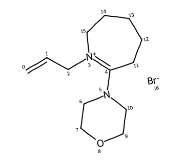 C=CC[N+]1=C(N2CCOCC2)CCCCC1.[Br-]